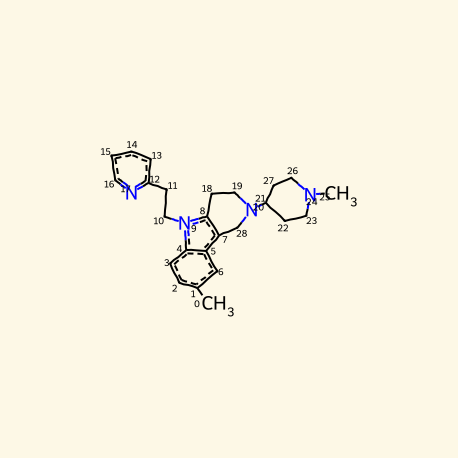 Cc1ccc2c(c1)c1c(n2CCc2ccccn2)CCN(C2CCN(C)CC2)C1